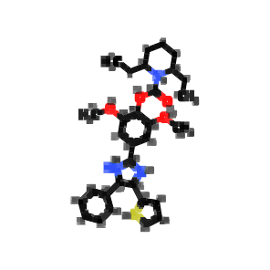 CCC1CCCC(CC)N1C(=O)Oc1c(OC)cc(-c2nc(-c3cccs3)c(-c3ccccc3)[nH]2)cc1OC